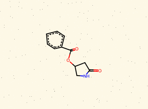 O=C1CC(OC(=O)c2ccccc2)CN1